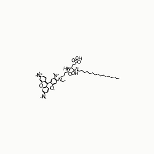 CCCCCCCCCCCCCCCCNC(=O)C(CCS(=O)(=O)O)NC(=O)CCCN(CC)c1cc(OC)c(-c2c3ccc(=[N+](C)C)cc-3oc3cc(N(C)C)ccc23)cc1N(C)C